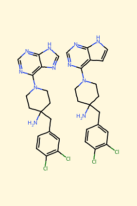 NC1(Cc2ccc(Cl)c(Cl)c2)CCN(c2ncnc3[nH]ccc23)CC1.NC1(Cc2ccc(Cl)c(Cl)c2)CCN(c2ncnc3[nH]cnc23)CC1